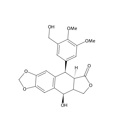 COc1cc([C@@H]2c3cc4c(cc3[C@H](O)C3COC(=O)[C@@H]32)OCO4)cc(CO)c1OC